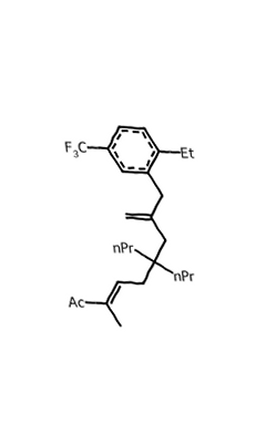 C=C(Cc1cc(C(F)(F)F)ccc1CC)CC(C/C=C(\C)C(C)=O)(CCC)CCC